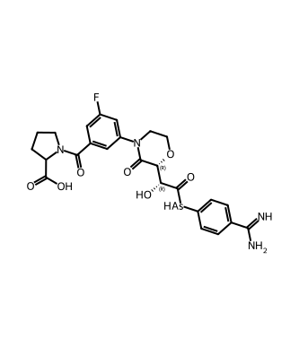 N=C(N)c1ccc([AsH]C(=O)[C@H](O)[C@H]2OCCN(c3cc(F)cc(C(=O)N4CCCC4C(=O)O)c3)C2=O)cc1